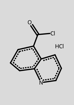 Cl.O=C(Cl)c1cccc2ncccc12